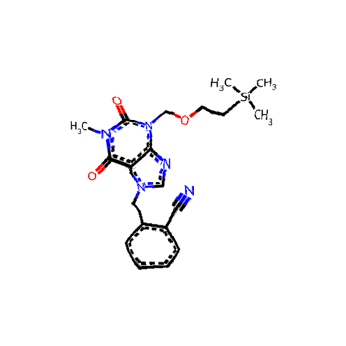 Cn1c(=O)c2c(ncn2Cc2ccccc2C#N)n(COCC[Si](C)(C)C)c1=O